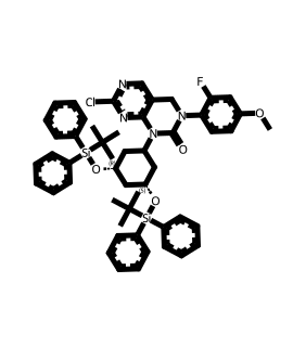 COc1ccc(N2Cc3cnc(Cl)nc3N(C3C[C@@H](O[Si](c4ccccc4)(c4ccccc4)C(C)(C)C)C[C@@H](O[Si](c4ccccc4)(c4ccccc4)C(C)(C)C)C3)C2=O)c(F)c1